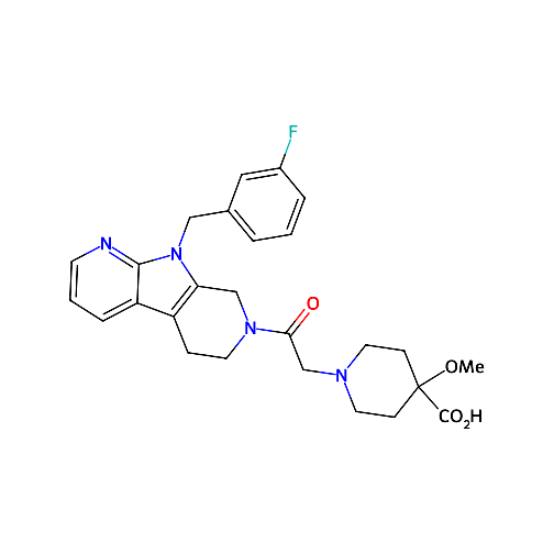 COC1(C(=O)O)CCN(CC(=O)N2CCc3c(n(Cc4cccc(F)c4)c4ncccc34)C2)CC1